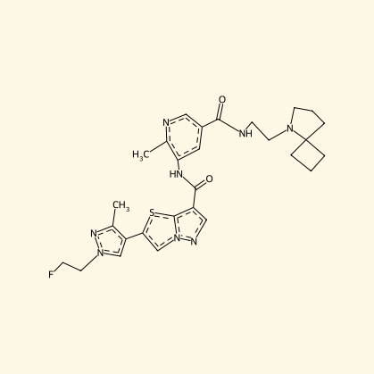 Cc1ncc(C(=O)NCCN2CCCC23CCC3)cc1NC(=O)c1cnn2cc(-c3cn(CCF)nc3C)sc12